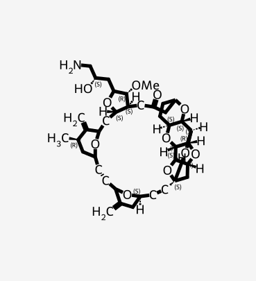 C=C1C[C@@H]2CC[C@@]34C[C@H]5O[C@H]6[C@@H](O3)[C@H]3OC(CC[C@@H]3O[C@H]6[C@H]5O4)CC(=O)C[C@H]3[C@H](CC4OC(CCC1O2)C[C@@H](C)C4=C)OC(C[C@H](O)CN)[C@@H]3OC